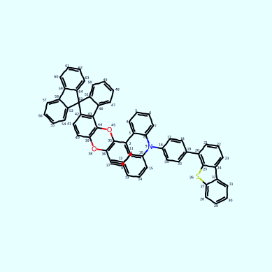 c1cc(-c2ccccc2N(c2ccccc2)c2ccc(-c3cccc4c3sc3ccccc34)cc2)c2c(c#1)Oc1ccc3c(c1O2)-c1ccccc1C31c2ccccc2-c2ccccc21